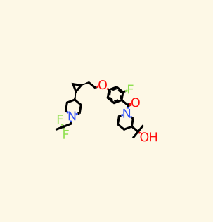 CC(F)(F)CN1CCC([C@H]2C[C@H]2CCOc2ccc(C(=O)N3CCCC(C(C)(C)O)C3)c(F)c2)CC1